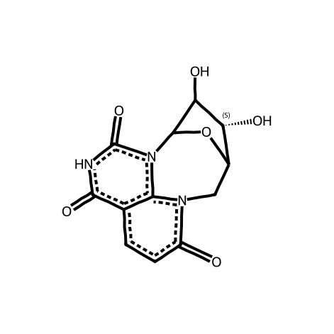 O=c1[nH]c(=O)n2c3c1ccc(=O)n3CC1OC2C(O)[C@@H]1O